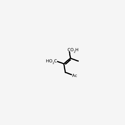 CC(=O)CC(C(=O)O)=C(C)C(=O)O